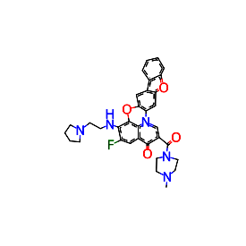 CN1CCN(C(=O)c2cn3c4c(c(NCCN5CCCC5)c(F)cc4c2=O)Oc2cc4c(cc2-3)oc2ccccc24)CC1